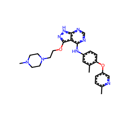 Cc1ccc(Oc2ccc(Nc3ncnc4[nH]nc(OCCN5CCN(C)CC5)c34)cc2C)cn1